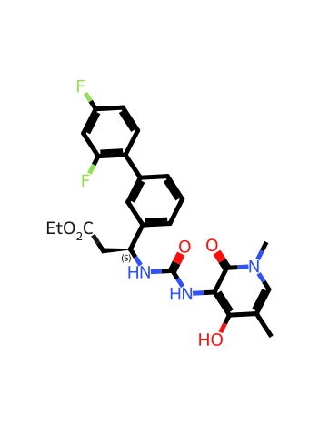 CCOC(=O)C[C@H](NC(=O)Nc1c(O)c(C)cn(C)c1=O)c1cccc(-c2ccc(F)cc2F)c1